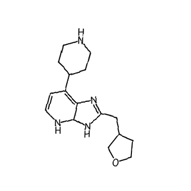 C1=CC(C2CCNCC2)=C2N=C(CC3CCOC3)NC2N1